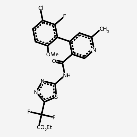 CCOC(=O)C(F)(F)c1nnc(NC(=O)c2cnc(C)cc2-c2c(OC)ccc(Cl)c2F)s1